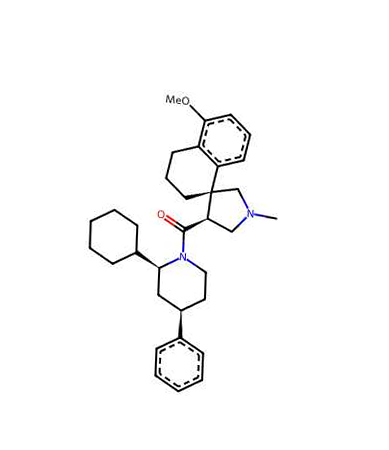 COc1cccc2c1CCC[C@]21CN(C)C[C@H]1C(=O)N1CC[C@@H](c2ccccc2)C[C@H]1C1CCCCC1